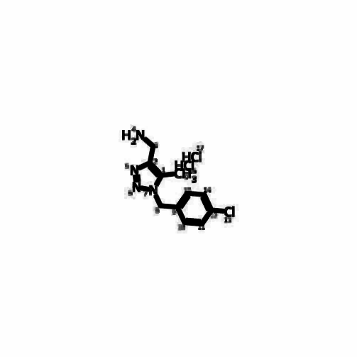 Cc1c(CN)nnn1Cc1ccc(Cl)cc1.Cl.Cl